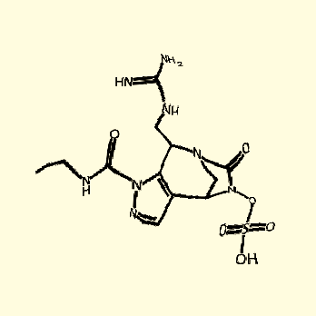 CCNC(=O)n1ncc2c1C(CNC(=N)N)N1CC2N(OS(=O)(=O)O)C1=O